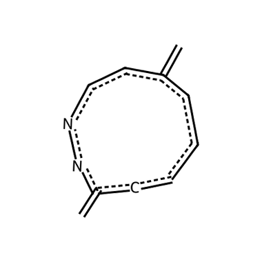 C=c1ccccc(=C)nncc1